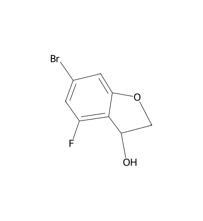 OC1COc2cc(Br)cc(F)c21